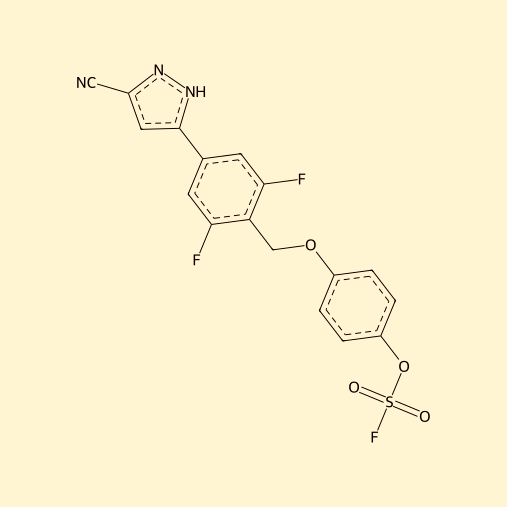 N#Cc1cc(-c2cc(F)c(COc3ccc(OS(=O)(=O)F)cc3)c(F)c2)[nH]n1